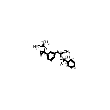 CC(C)OC1(c2cccc(CC(C)OC(C)(C)c3ccccc3)c2)CC1